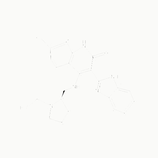 CCN1CCC[C@@H]1CNc1c(-c2nc3ccccc3[nH]2)c(=O)[nH]c2cc(Cl)ccc12